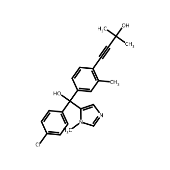 Cc1cc(C(O)(c2ccc(Cl)cc2)c2cncn2C)ccc1C#CC(C)(C)O